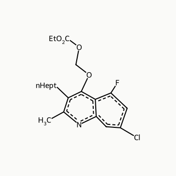 CCCCCCCc1c(C)nc2cc(Cl)cc(F)c2c1OCOC(=O)OCC